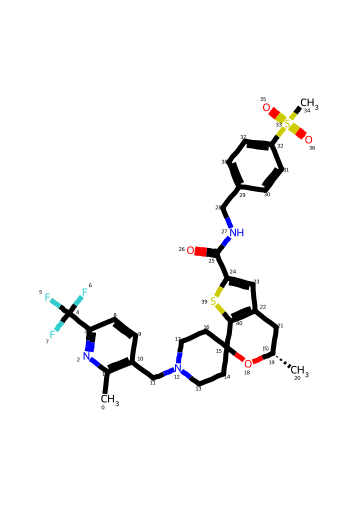 Cc1nc(C(F)(F)F)ccc1CN1CCC2(CC1)O[C@@H](C)Cc1cc(C(=O)NCc3ccc(S(C)(=O)=O)cc3)sc12